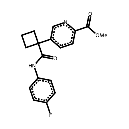 COC(=O)c1ccc(C2(C(=O)Nc3ccc(F)cc3)CCC2)cn1